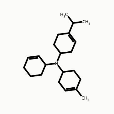 CC1=CCC(N(C2C=CCCC2)C2CC=C(C(C)C)CC2)CC1